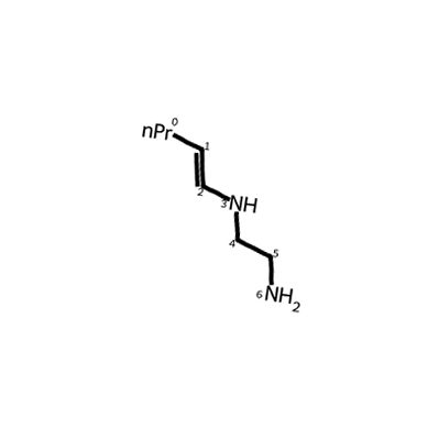 CCCC=CNCCN